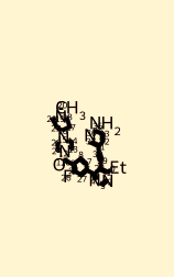 CCc1ncnc(-c2ccc(C(=O)N3CCN(C4CCN(C)CC4)CC3)c(F)c2)c1C#Cc1ccc(N)nc1